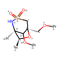 [3H][C@@H]1O[C@]2(COC(C)C)CS(=O)(=O)N[C@H]1C2OC(C)C